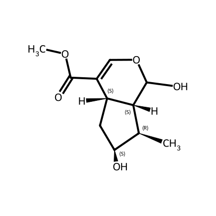 COC(=O)C1=COC(O)[C@@H]2[C@@H](C)[C@@H](O)C[C@H]12